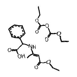 CCOC(=O)/C=C(\C)NC(C(=O)O)c1ccccc1.CCOC(=O)OC(=O)OCC